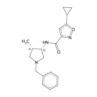 C[C@H]1CN(Cc2ccccc2)C[C@H]1NC(=O)c1cc(C2CC2)on1